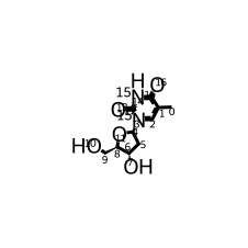 Cc1c[15n]([C@H]2C[C@H](O)[C@@H](CO)O2)c(=O)[15nH]c1=O